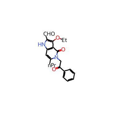 CCCc1cc2[nH]c(C=O)c(OCC)c2c(=O)n1CC(=O)c1ccccc1